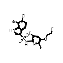 O=S(=O)(Nc1nc(F)c(OCCF)cc1F)c1c[nH]c2c(Br)c(Cl)ccc12